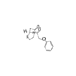 O=C(COc1ccccc1)[N+]12CCS[C@H]1CC2=O